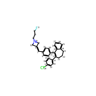 FCCCN1CC(=Cc2ccc(C3=C(c4ccc(Cl)cc4)CCCc4ccccc43)cc2)C1